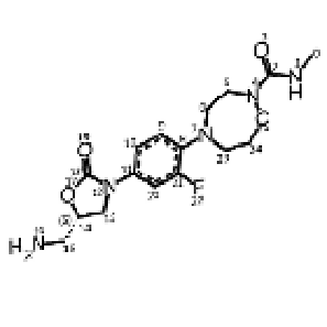 CNC(=O)N1CCN(c2ccc(N3C[C@H](CN)OC3=O)cc2F)CCO1